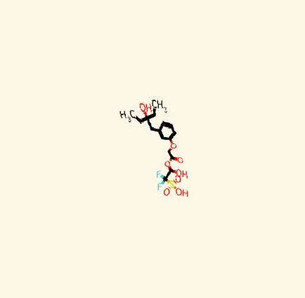 CCC(O)(CC)Cc1cccc(OCC(=O)OC(O)C(F)(F)S(=O)(=O)O)c1